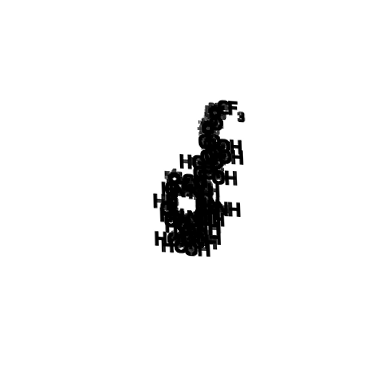 CC(c1ccccc1)C1NC(=O)CNC(=O)C(CO)NC(=O)C(C(O)C2CNC(=N)N2C2OC(CO)C(O)C(O)C2O)NC(=O)C(C(O)C2CNC(=N)N2)NC(=O)C(Cc2ccc(OC3OC(CO)C(OC4OC5COC(c6cccc(Oc7cccc(C(F)(F)F)c7)c6)OC5C(O)C4O)C(O)C3O)cc2)NC1=O